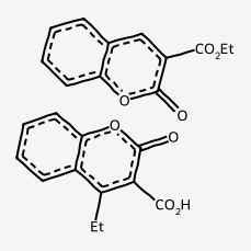 CCOC(=O)c1cc2ccccc2oc1=O.CCc1c(C(=O)O)c(=O)oc2ccccc12